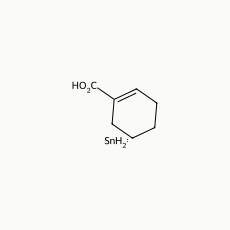 O=C(O)C1=CCCCC1.[SnH2]